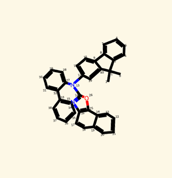 CC1(C)c2ccccc2-c2ccc(N(c3nc4ccc5ccccc5c4o3)c3ccccc3-c3ccccc3)cc21